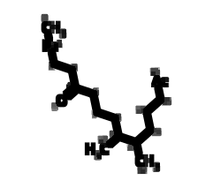 [CH3][Ra][CH2]CC(=O)CCCC(C)C(C)CCCC(C)=O